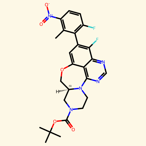 Cc1c([N+](=O)[O-])ccc(F)c1-c1cc2c3c(ncnc3c1F)N1CCN(C(=O)OC(C)(C)C)C[C@H]1CO2